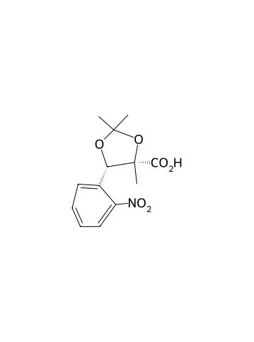 CC1(C)O[C@@H](c2ccccc2[N+](=O)[O-])[C@@](C)(C(=O)O)O1